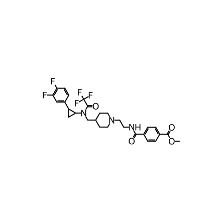 COC(=O)c1ccc(C(=O)NCCN2CCC(CN(C(=O)C(F)(F)F)C3CC3c3ccc(F)c(F)c3)CC2)cc1